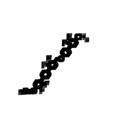 CCCCOc1ccc(C2=CCC(c3ccc(COC4CC=C(c5ccc(C)c(F)c5F)CC4)c(F)c3F)CC2)c(F)c1F